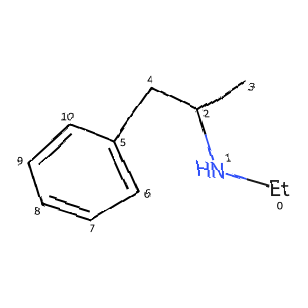 [CH2]CNC(C)Cc1ccccc1